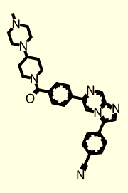 CN1CCN(C2CCN(C(=O)c3ccc(-c4cn5c(-c6ccc(C#N)cc6)cnc5cn4)cc3)CC2)CC1